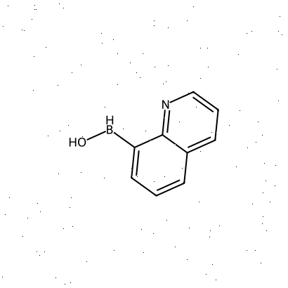 OBc1cccc2cccnc12